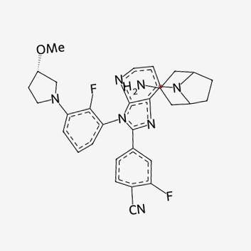 CO[C@H]1CCN(c2cccc(-n3c(-c4ccc(C#N)c(F)c4)nc4c(N5C6CCC5CC(N)C6)ccnc43)c2F)C1